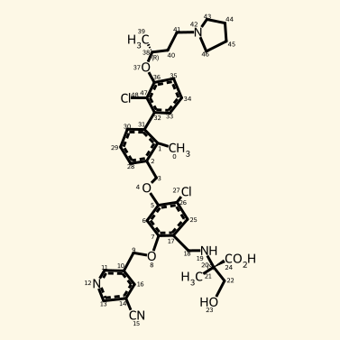 Cc1c(COc2cc(OCc3cncc(C#N)c3)c(CN[C@@](C)(CO)C(=O)O)cc2Cl)cccc1-c1cccc(O[C@H](C)CCN2CCCC2)c1Cl